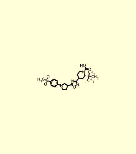 CC(C)(C)[C@@H]1CC(c2noc(C3CCN(c4ccc(S(C)(=O)=O)cc4)C3)n2)CCN1C(=O)O